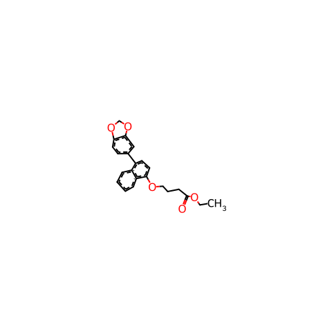 CCOC(=O)CCCOc1ccc(-c2ccc3c(c2)OCO3)c2ccccc12